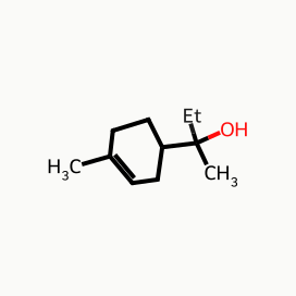 CCC(C)(O)C1CC=C(C)CC1